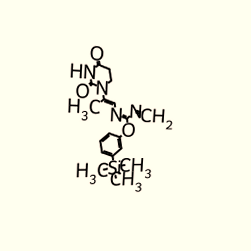 C=N/C(=N\C=C(/C)N1CCC(=O)NC1=O)Oc1cccc([Si](C)(C)C)c1